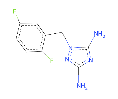 Nc1nc(N)n(Cc2cc(F)ccc2F)n1